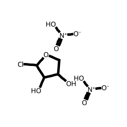 O=[N+]([O-])O.O=[N+]([O-])O.OC1COC(Cl)C1O